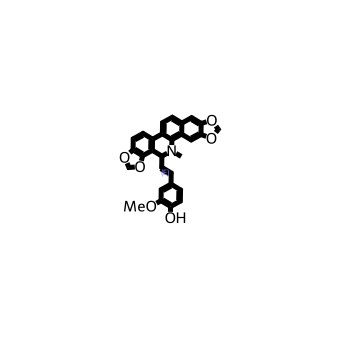 COc1cc(/C=C/C2c3c(ccc4c3OCO4)-c3ccc4cc5c(cc4c3N2C)OCO5)ccc1O